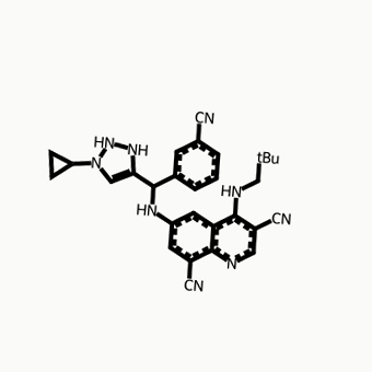 CC(C)(C)CNc1c(C#N)cnc2c(C#N)cc(NC(C3=CN(C4CC4)NN3)c3cccc(C#N)c3)cc12